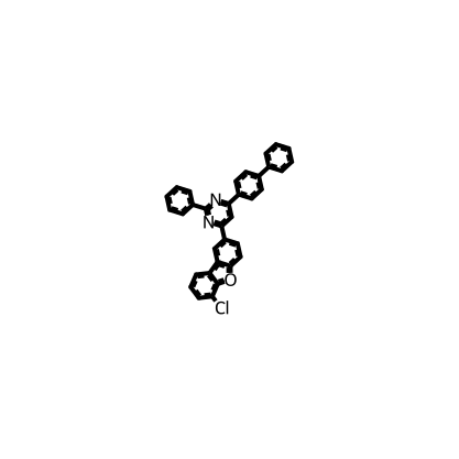 Clc1cccc2c1oc1ccc(-c3cc(-c4ccc(-c5ccccc5)cc4)nc(-c4ccccc4)n3)cc12